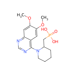 COc1cc2ncnc(N3CCCCC3CP(=O)(O)O)c2cc1OC